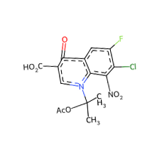 CC(=O)OC(C)(C)n1cc(C(=O)O)c(=O)c2cc(F)c(Cl)c([N+](=O)[O-])c21